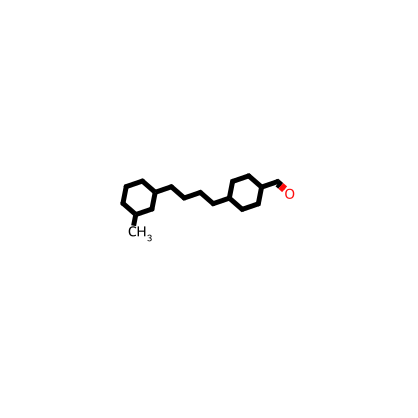 CC1CCCC(CCCCC2CCC(C=O)CC2)C1